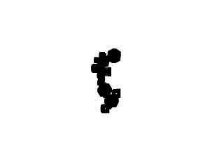 Cc1c(C(=O)NCCCN2CCN(c3cc(Cl)ccc3Cl)CC2)cc(-c2ccccc2)n1C